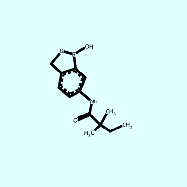 CCC(C)(C)C(=O)Nc1ccc2c(c1)B(O)OC2